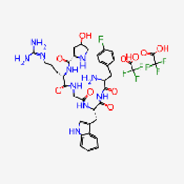 NC(N)=NCCC[C@H](NC(=O)[C@@H]1CC(O)CN1)C(=O)NCC(=O)N[C@@H](Cc1c[nH]c2ccccc12)C(=O)NC(=O)[C@@H](N)Cc1ccc(F)cc1.O=C(O)C(F)(F)F.O=C(O)C(F)(F)F